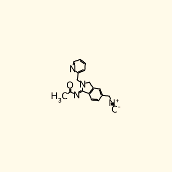 [C-]#[N+]Cc1ccc2c(c1)CN(Cc1ccccn1)/C2=N\C(C)=O